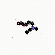 c1ccc(-c2ccc(-c3nc(-c4ccccc4)nc(-c4cccc(-c5cccc(-c6ccc7oc8cc9c(cc8c7c6)oc6ccccc69)c5)c4)n3)cc2)cc1